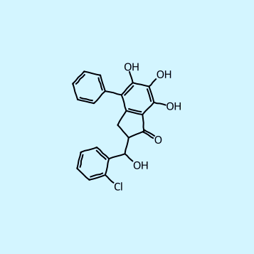 O=C1c2c(O)c(O)c(O)c(-c3ccccc3)c2CC1C(O)c1ccccc1Cl